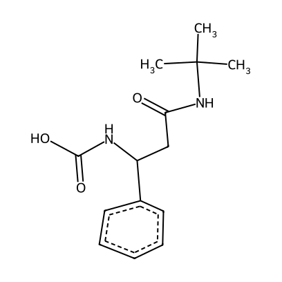 CC(C)(C)NC(=O)CC(NC(=O)O)c1ccccc1